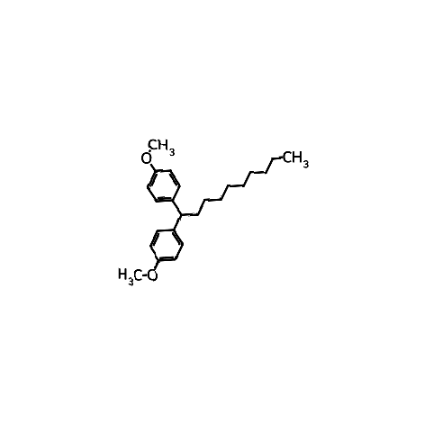 CCCCCCCCCC(c1ccc(OC)cc1)c1ccc(OC)cc1